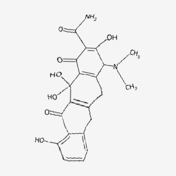 CN(C)C1C(O)=C(C(N)=O)C(=O)C2=C1CC1=C(C(=O)c3c(O)cccc3C1)C2(O)O